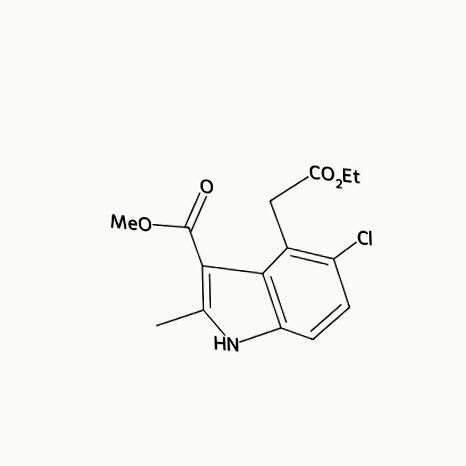 CCOC(=O)Cc1c(Cl)ccc2[nH]c(C)c(C(=O)OC)c12